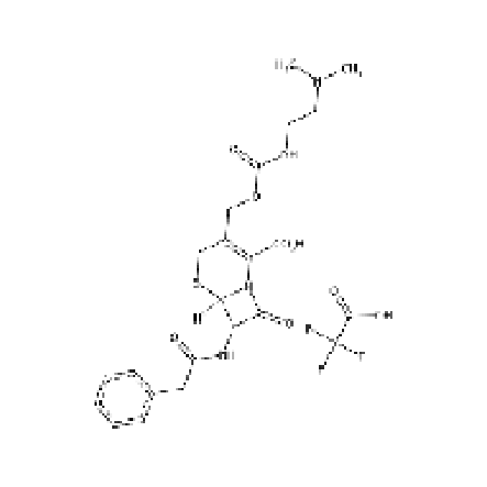 CN(C)CCNC(=O)OCC1=C(C(=O)O)N2C(=O)C(NC(=O)Cc3ccccc3)[C@H]2SC1.O=C(O)C(F)(F)F